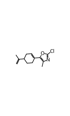 C=C(C)C1CC=C(c2oc(Cl)nc2C)CC1